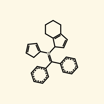 C1=CC[C]([Zr](=[C](c2ccccc2)c2ccccc2)[CH]2C=CC3=C2CCCC3)=C1